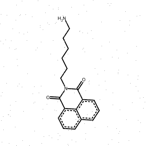 NCCCCCCN1C(=O)c2cccc3cccc(c23)C1=O